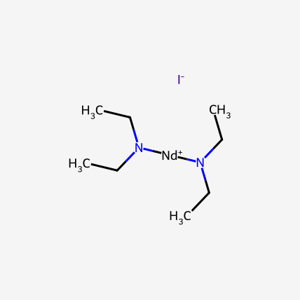 CC[N](CC)[Nd+][N](CC)CC.[I-]